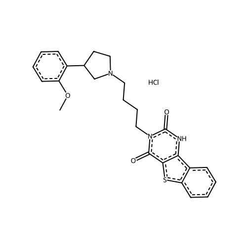 COc1ccccc1C1CCN(CCCCn2c(=O)[nH]c3c(sc4ccccc43)c2=O)C1.Cl